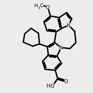 COc1ccc2c3c1ccn3CCCn1c-2c(C2CCCCC2)c2ccc(C(=O)O)cc21